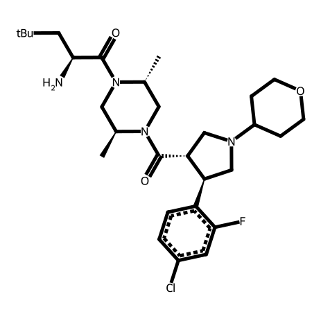 C[C@@H]1CN(C(=O)[C@@H]2CN(C3CCOCC3)C[C@H]2c2ccc(Cl)cc2F)[C@@H](C)CN1C(=O)[C@@H](N)CC(C)(C)C